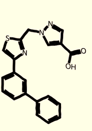 O=C(O)c1cnn(Cc2nc(-c3cccc(-c4ccccc4)c3)cs2)c1